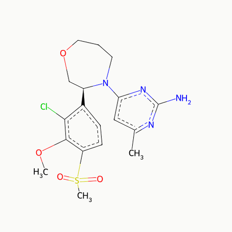 COc1c(S(C)(=O)=O)ccc([C@H]2COCCCN2c2cc(C)nc(N)n2)c1Cl